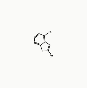 [2H]c1cc2c(C(C)(C)C)ccnc2s1